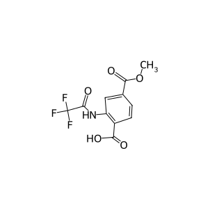 COC(=O)c1ccc(C(=O)O)c(NC(=O)C(F)(F)F)c1